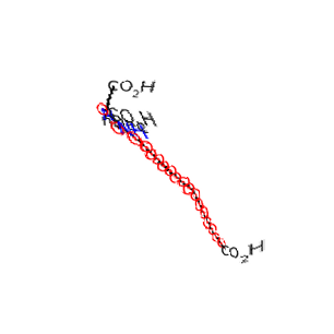 CCCCCCCCCCCN(C(=O)CCCCCCCCCC(=O)O)C(CCC(=O)NCCOCCOCCOCCOCCOCCOCCOCCOCCOCCOCCOCCOCCOCCOCCOCCOCCC(=O)O)C(=O)O